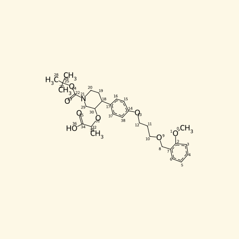 COc1ccccc1COCCCOc1ccc(C2CCN(C(=O)OC(C)(C)C)CC2OC(C)C(=O)O)cc1